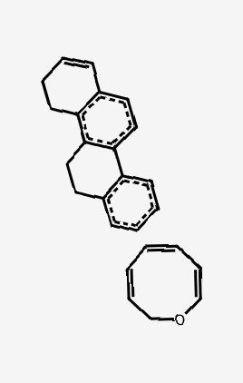 C1=CC=COCC=C1.C1=Cc2ccc3c(c2CC1)CCc1ccccc1-3